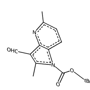 Cc1ccc2c(n1)c(C=O)c(C)n2C(=O)OC(C)(C)C